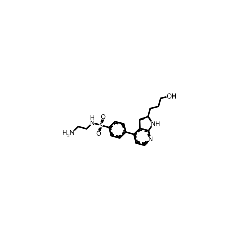 NCCNS(=O)(=O)c1ccc(-c2ccnc3c2CC(CCCO)N3)cc1